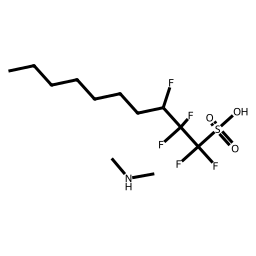 CCCCCCCC(F)C(F)(F)C(F)(F)S(=O)(=O)O.CNC